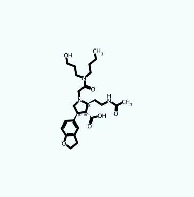 CCCCN(CCCO)C(=O)CN1C[C@H](c2ccc3c(c2)CCO3)[C@@H](C(=O)O)[C@@H]1CCNC(C)=O